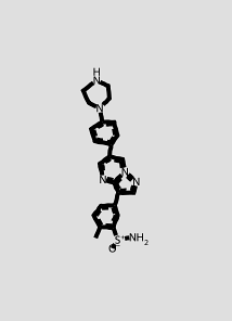 Cc1ccc(-c2cnn3cc(-c4ccc(N5CCNCC5)cc4)cnc23)cc1[S+](N)[O-]